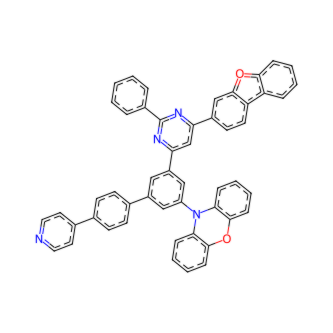 c1ccc(-c2nc(-c3cc(-c4ccc(-c5ccncc5)cc4)cc(N4c5ccccc5Oc5ccccc54)c3)cc(-c3ccc4c(c3)oc3ccccc34)n2)cc1